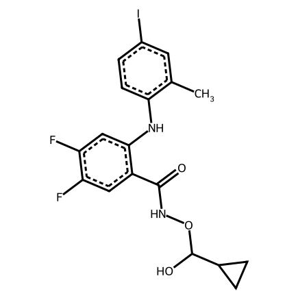 Cc1cc(I)ccc1Nc1cc(F)c(F)cc1C(=O)NOC(O)C1CC1